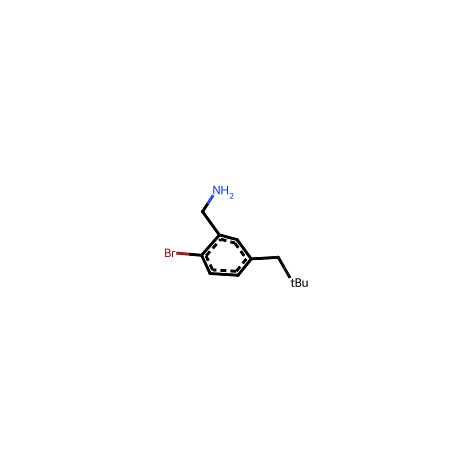 CC(C)(C)Cc1ccc(Br)c(CN)c1